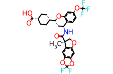 C[C@]1(C(=O)N[C@@H]2C[C@H]([C@H]3CC[C@@H](C(=O)O)CC3)Oc3cc(OC(F)(F)F)ccc32)COc2cc3c(cc21)OC(F)(F)O3